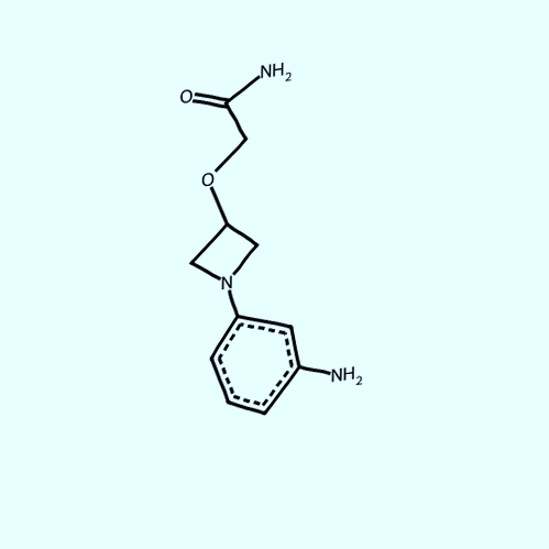 NC(=O)COC1CN(c2cccc(N)c2)C1